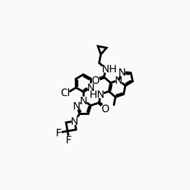 Cc1cc2ccnn2c(C(=O)NCC2CC2)c1NC(=O)c1cc(N2CC(F)(F)C2)nn1-c1ncccc1Cl